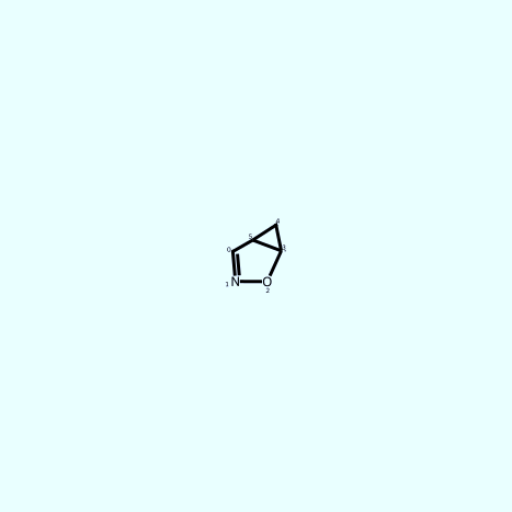 C1=NO[C]2CC12